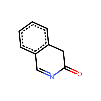 O=C1Cc2ccccc2C=N1